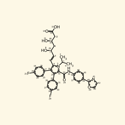 CC(C)n1c(C=C[C@@H](O)C[C@@H](O)CC(=O)O)c(-c2ccc(F)cc2)c(-c2ccc(F)cc2)c1C(=O)Nc1ccc(-c2ncco2)cc1